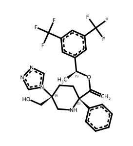 C=C(O[C@@H](C)c1cc(C(F)(F)F)cc(C(F)(F)F)c1)[C@@]1(c2ccccc2)CC[C@@](CO)(n2cnnc2)CN1